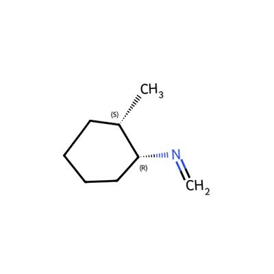 C=N[C@@H]1CCCC[C@@H]1C